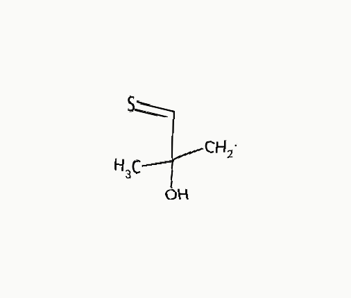 [CH2]C(C)(O)C=S